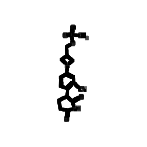 CS(=O)(=O)OCC1CN(c2ccc(C3CCC(=O)NC3=O)c(C#N)c2)C1